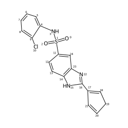 O=S(=O)(Nc1ccccc1Cl)c1ccc2[nH]c(C3=CCC=C3)nc2c1